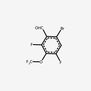 O=Cc1c(Br)cc(F)c(OC(F)(F)F)c1F